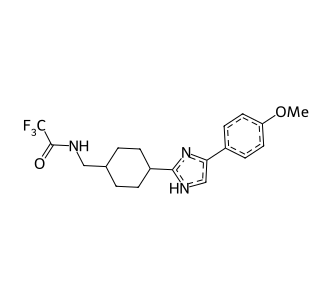 COc1ccc(-c2c[nH]c(C3CCC(CNC(=O)C(F)(F)F)CC3)n2)cc1